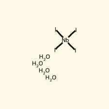 O.O.O.O.[I][Nb]([I])([I])[I]